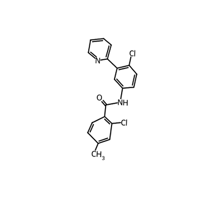 Cc1ccc(C(=O)Nc2ccc(Cl)c(-c3ccccn3)c2)c(Cl)c1